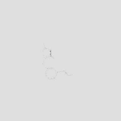 CCOC=Cc1cccc(Cn2sc(Cl)cc2=O)c1